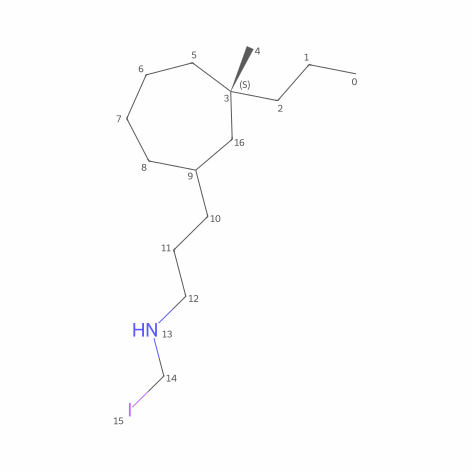 CCC[C@@]1(C)CCCCC(CCCNCI)C1